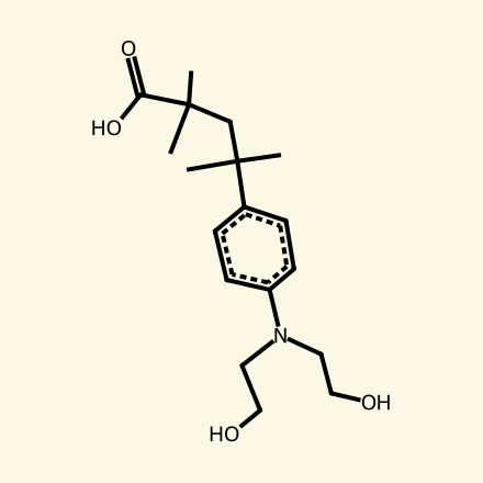 CC(C)(CC(C)(C)c1ccc(N(CCO)CCO)cc1)C(=O)O